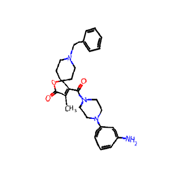 CC1=C(C(=O)N2CCN(c3cccc(N)c3)CC2)C2(CCN(Cc3ccccc3)CC2)OC1=O